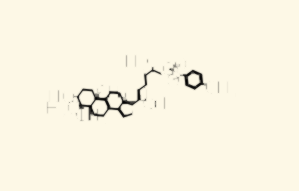 Cc1ccc(S(=O)(=O)OC[C@H](C)CCC[C@@H](C)[C@H]2CC=C3C4=C(CC[C@@]32C)[C@@]2(C)CC[C@H](O)C(C)(C)[C@@H]2CC4)cc1